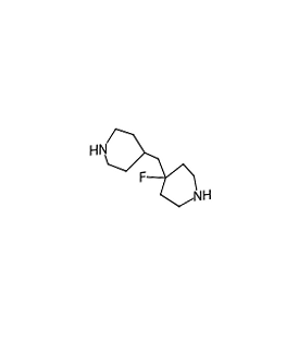 FC1(CC2CCNCC2)CCNCC1